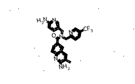 Cc1cc2cc(C(=O)N(Cc3ccc(N)nc3)Cc3ccc(C(F)(F)F)cn3)ccc2nc1N